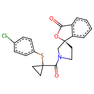 O=C1O[C@]2(CCN(C(=O)C3(Sc4ccc(Cl)cc4)CC3)C2)c2ccccc21